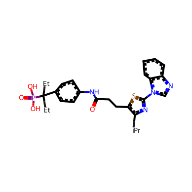 CCC(CC)(c1ccc(NC(=O)CCc2sc(-n3cnc4ccccc43)nc2C(C)C)cc1)P(=O)(O)O